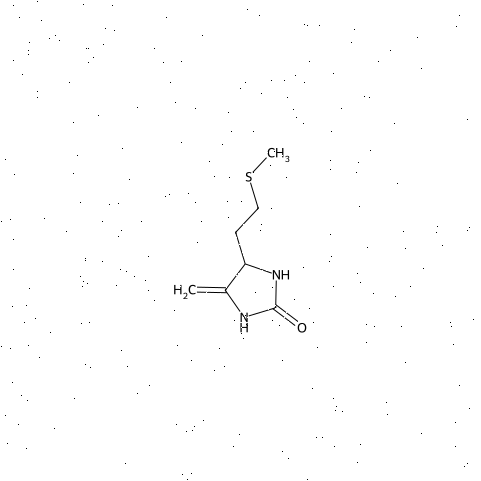 C=C1NC(=O)NC1CCSC